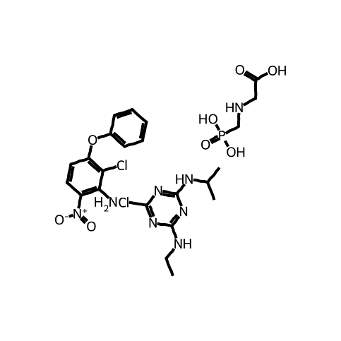 CCNc1nc(Cl)nc(NC(C)C)n1.Nc1c([N+](=O)[O-])ccc(Oc2ccccc2)c1Cl.O=C(O)CNCP(=O)(O)O